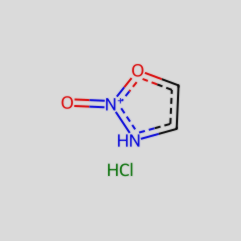 Cl.O=[n+]1[nH]cco1